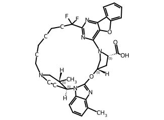 Cc1cccc2c1nc1n2[C@H]2CCN(CCCCCCC(F)(F)c3nc(c4oc5ccccc5c4n3)N3C[C@H](C[C@H]3C(=O)O)O1)C[C@@H]2C